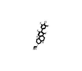 CCC/C=C/[C@@H]1CC[C@@H]2c3cc(F)c(-c4cc(F)c(Cl)c(F)c4)c(F)c3CC[C@@H]2C1